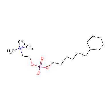 C[N+](C)(C)CCOP(=O)([O-])OCCCCCCC1CCCCC1